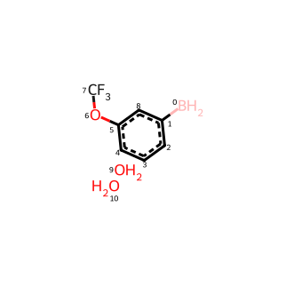 Bc1cccc(OC(F)(F)F)c1.O.O